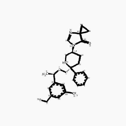 C[C@@H](OC[C@@]1(c2ccccc2)CC[C@H](N2C=NC3(CC3)C2=O)CN1)c1cc(CF)cc(C(F)(F)F)c1